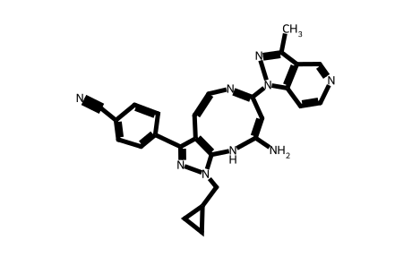 Cc1nn(-c2cc(N)[nH]c3c(ccn2)c(-c2ccc(C#N)cc2)nn3CC2CC2)c2ccncc12